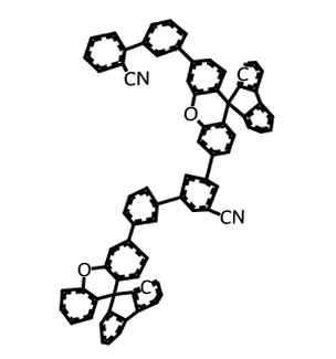 N#Cc1cc(-c2cccc(-c3ccc4c(c3)Oc3ccccc3C43c4ccccc4-c4ccccc43)c2)cc(-c2ccc3c(c2)Oc2cc(-c4cccc(-c5ccccc5C#N)c4)ccc2C32c3ccccc3-c3ccccc32)c1